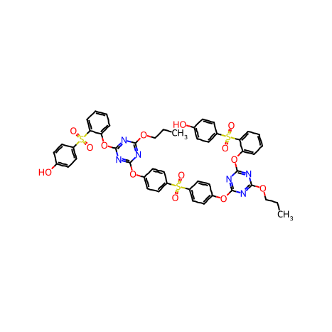 CCCOc1nc(Oc2ccc(S(=O)(=O)c3ccc(Oc4nc(OCCC)nc(Oc5ccccc5S(=O)(=O)c5ccc(O)cc5)n4)cc3)cc2)nc(Oc2ccccc2S(=O)(=O)c2ccc(O)cc2)n1